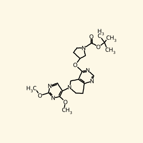 COc1ncc(N2CCc3ncnc(OC4CCN(C(=O)OC(C)(C)C)C4)c3C2)c(OC)n1